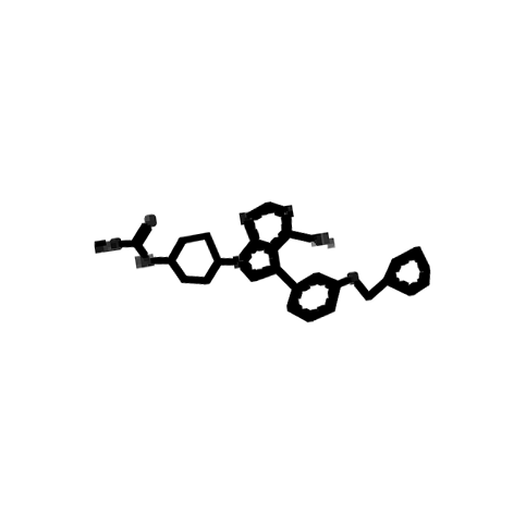 COC(=O)NC1CCC(n2cc(-c3cccc(OCc4ccccc4)c3)c3c(N)ncnc32)CC1